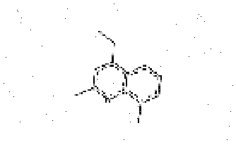 CCc1cc(C)nc2c(C)cccc12